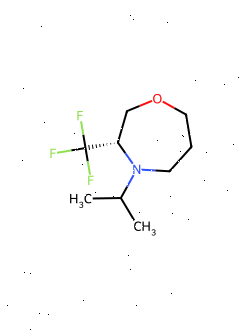 CC(C)N1CCCOC[C@H]1C(F)(F)F